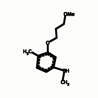 CBc1ccc(C)c(OCCCOC)c1